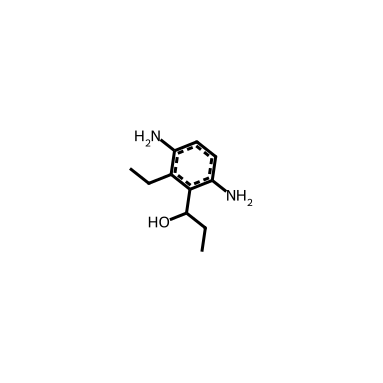 CCc1c(N)ccc(N)c1C(O)CC